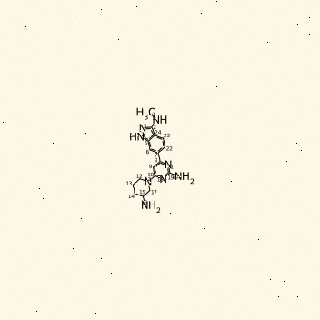 CNc1n[nH]c2cc(-c3cc(N4CCCC(N)C4)nc(N)n3)ccc12